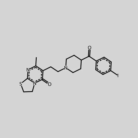 Cc1nc2n(c(=O)c1CCN1CCC(C(=O)c3ccc(I)cc3)CC1)CCS2